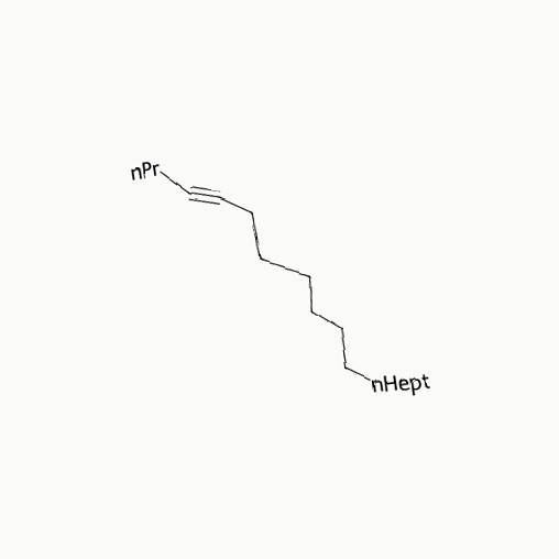 CCCC#CCCCCCCCCCCCCC